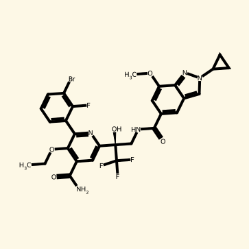 CCOc1c(C(N)=O)cc([C@](O)(CNC(=O)c2cc(OC)c3nn(C4CC4)cc3c2)C(F)(F)F)nc1-c1cccc(Br)c1F